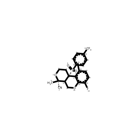 C[C@@]1(C#N)OCC[C@@]2(S(=O)(=O)c3ccc(C(F)(F)F)cc3)c3c(F)ccc(F)c3OCC12